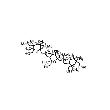 COC[C@]1(C)OC(C)(CO)[C@@H](COC[C@]2(C)OC(C)(CO)[C@@H](COC[C@]3(C)OC(C)(CO)[C@@](C)(COC)[C@@](C)(O)C3(C)NC(C)=O)[C@@](C)(O)C2(C)NC(C)=O)[C@@](C)(O)C1(C)NC(C)=O